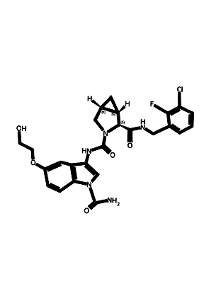 NC(=O)n1cc(NC(=O)N2C[C@@H]3C[C@@H]3[C@H]2C(=O)NCc2cccc(Cl)c2F)c2cc(OCCO)ccc21